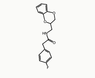 O=C(Cc1ccc(F)cc1)NCC1COc2ccccc2O1